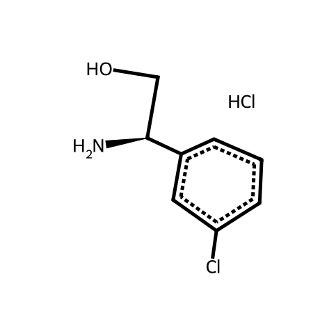 Cl.N[C@@H](CO)c1cccc(Cl)c1